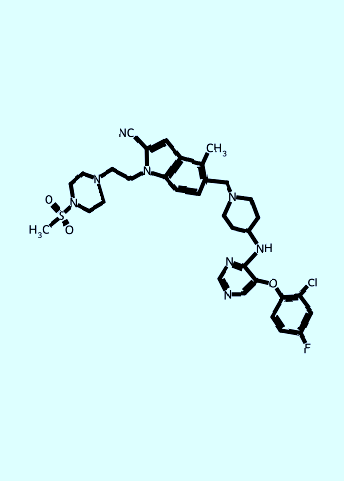 Cc1c(CN2CCC(Nc3ncncc3Oc3ccc(F)cc3Cl)CC2)ccc2c1cc(C#N)n2CCN1CCN(S(C)(=O)=O)CC1